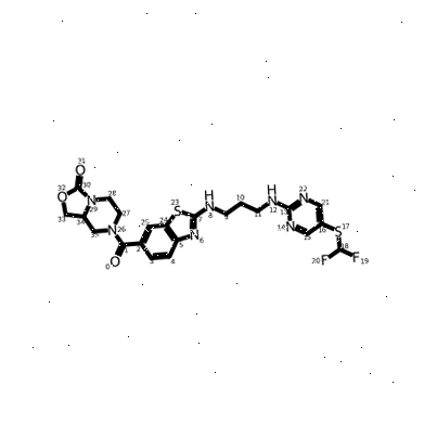 O=C(c1ccc2nc(NCCCNc3ncc(SC(F)F)cn3)sc2c1)N1CCN2C(=O)OCC2C1